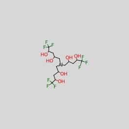 OC(CC(O)C(F)(F)F)[CH2][Al]([CH2]C(O)CC(O)C(F)(F)F)[CH2]C(O)CC(O)C(F)(F)F